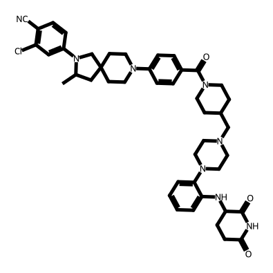 CC1CC2(CCN(c3ccc(C(=O)N4CCC(CN5CCN(c6ccccc6NC6CCC(=O)NC6=O)CC5)CC4)cc3)CC2)CN1c1ccc(C#N)c(Cl)c1